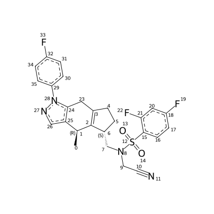 C[C@@H]1C2=C(CC[C@@H]2CN(CC#N)S(=O)(=O)c2ccc(F)cc2F)Cc2c1cnn2-c1ccc(F)cc1